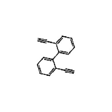 C#Cc1ccccc1-c1ccccc1C#C